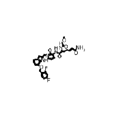 COCC(=O)NC(CCC=CC(N)=O)C(=O)Nc1cccn(Cc2cc3cccc(OCc4ccc(F)cc4F)c3[nH]2)c1=O